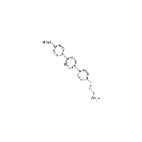 CCCCCc1ccc(-c2ncc(-c3ccc(CCCC(=O)O)cc3)cn2)cc1